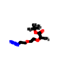 CC(OCCOCCN=[N+]=[N-])C(=O)OC(C)(C)C